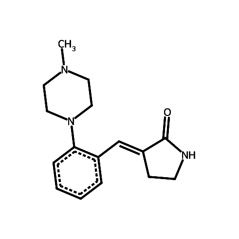 CN1CCN(c2ccccc2/C=C2\CCNC2=O)CC1